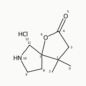 CC1(C)CC(=O)OC12CCNC2.Cl